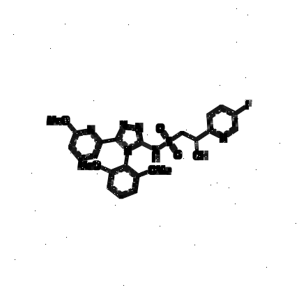 COc1cccc(-c2nnc(NS(=O)(=O)CC(O)c3ccc(F)cn3)n2-c2c(OC)cccc2OC)n1